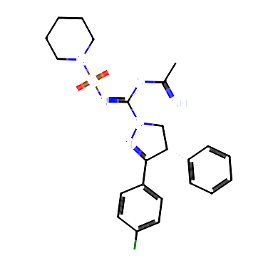 CC(=N)N/C(=N\S(=O)(=O)N1CCCCC1)N1C[C@H](c2ccccc2)C(c2ccc(Cl)cc2)=N1